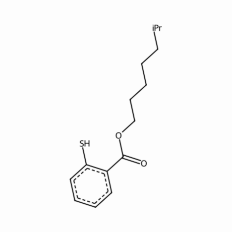 CC(C)CCCCCOC(=O)c1ccccc1S